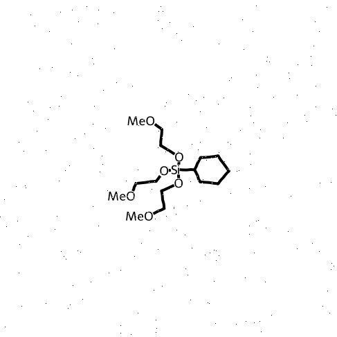 COCCO[Si](OCCOC)(OCCOC)C1CCCCC1